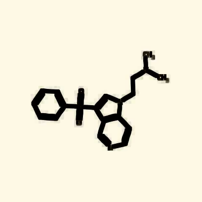 CN(C)CCn1cc(S(=O)(=O)c2ccccc2)c2cnccc21